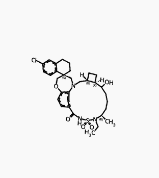 CCN1[C@H](C)CCCC(O)[C@@H]2CC[C@H]2CN2C[C@@]3(CCCc4cc(Cl)ccc43)COc3ccc(cc32)C(=O)NS1(=O)=O